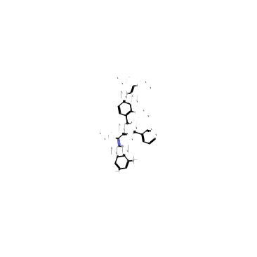 N#CC(C#N)=C1N=c2ccc(-c3nc(/C(C#N)=C4/N=c5cc(F)cc(F)c5=N4)nc(-c4cccnc4)n3)c(C#N)c2=N1